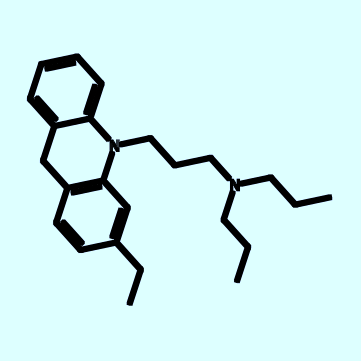 CCCN(CCC)CCCN1c2ccccc2Cc2ccc(CC)cc21